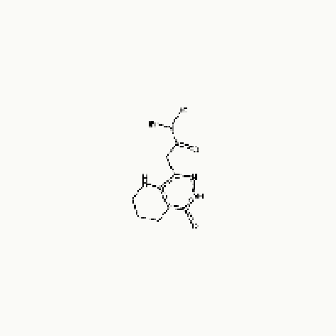 CCN(C(=O)Cc1n[nH]c(=O)c2c1NCCC2)C(C)C